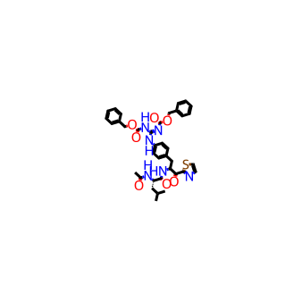 CC(=O)N[C@@H](CC(C)C)C(=O)NC(Cc1ccc(NC(=NC(=O)OCc2ccccc2)NC(=O)OCc2ccccc2)cc1)C(=O)c1nccs1